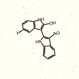 O=Nc1c(-c2c(O)[nH]c3ccc(F)cc23)[nH]c2ccccc12